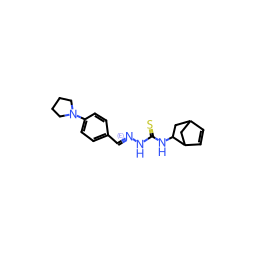 S=C(N/N=C/c1ccc(N2CCCC2)cc1)NC1CC2C=CC1C2